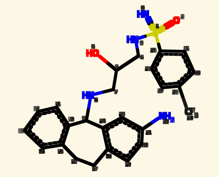 N=S(=O)(NCC(O)CNC1c2ccccc2CCc2ccc(N)cc21)c1ccc(C(F)(F)F)cc1